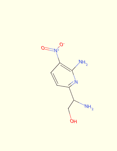 Nc1nc(C(N)CO)ccc1[N+](=O)[O-]